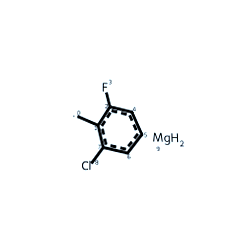 [CH2]c1c(F)cccc1Cl.[MgH2]